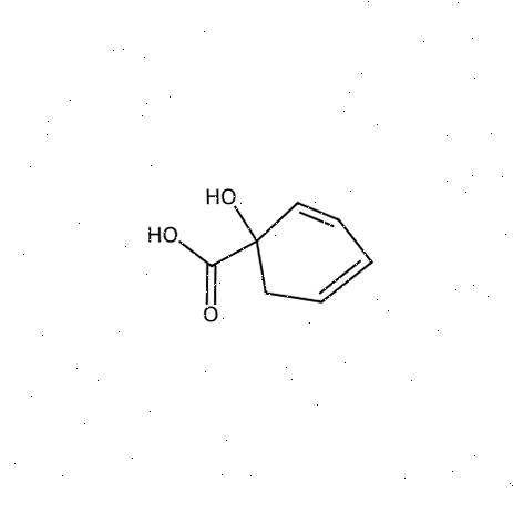 O=C(O)C1(O)C=CC=CC1